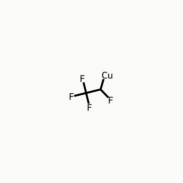 F[CH]([Cu])C(F)(F)F